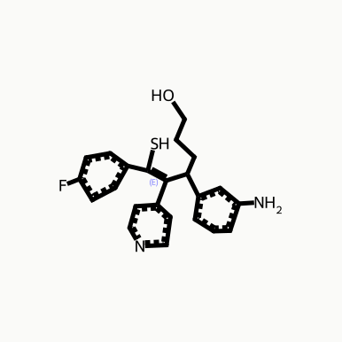 Nc1cccc(C(CCCO)/C(=C(\S)c2ccc(F)cc2)c2ccncc2)c1